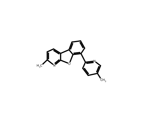 Cc1ccc(-c2cccc3c2oc2nc(C)ccc23)nc1